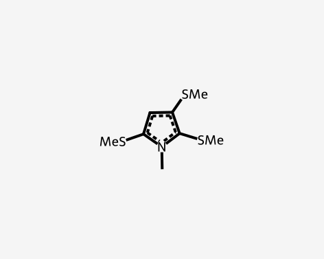 CSc1cc(SC)n(C)c1SC